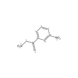 O=C(C[N+](=O)[O-])c1cccc([N+](=O)[O-])c1